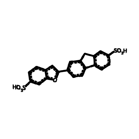 O=S(=O)(O)c1ccc2c(c1)Cc1cc(-c3cc4ccc(S(=O)(=O)O)cc4o3)ccc1-2